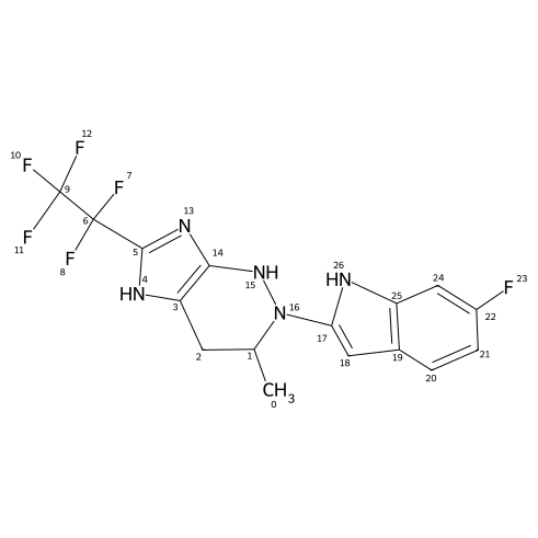 CC1Cc2[nH]c(C(F)(F)C(F)(F)F)nc2NN1c1cc2ccc(F)cc2[nH]1